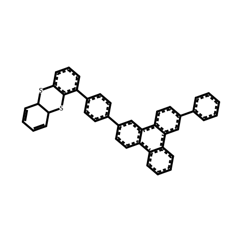 C1=CC2Sc3cccc(-c4ccc(-c5ccc6c7ccccc7c7cc(-c8ccccc8)ccc7c6c5)cc4)c3SC2C=C1